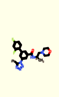 CC(C)c1nnnn1-c1cc(C(=O)N[C@H](C)CN2CCOCC2)cc(-c2ccc(F)cc2F)c1